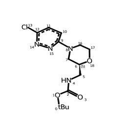 CC(C)(C)OC(=O)NC[C@H]1CN(c2ccc(Cl)nn2)CCO1